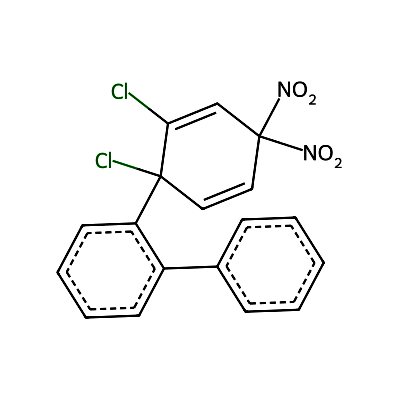 O=[N+]([O-])C1([N+](=O)[O-])C=CC(Cl)(c2ccccc2-c2ccccc2)C(Cl)=C1